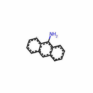 Nc1c2[c]cccc2cc2ccccc12